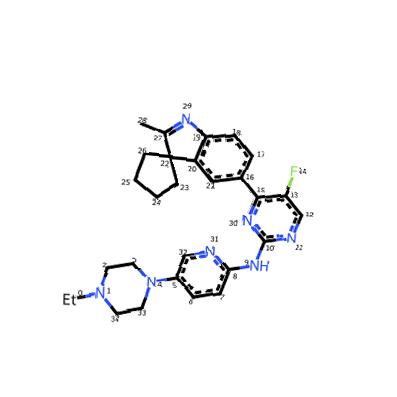 CCN1CCN(c2ccc(Nc3ncc(F)c(-c4ccc5c(c4)C4(CCCC4)C(C)=N5)n3)nc2)CC1